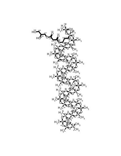 C[Si](C)(C)O[Si](C)(C)O[Si](C)(C)O[Si](C)(C)O[Si](C)(C)O[Si](C)(C)O[Si](C)(C)O[Si](C)(C)O[Si](C)(C)O[Si](C)(C)O[Si](C)(C)O[Si](C)(C)O[Si](C)(C)O[Si](C)(C)O[Si](C)(C)O[Si](C)(C)O[Si](C)(C)O[Si](C)(C)O[Si](C)(C)O[Si](C)(C)O[Si](C)(C)O[Si](C)(C)O[Si](C)(C)O[Si](C)(C)O[Si](C)(C)O[Si](C)(C)O[Si](C)(C)O[Si](C)(C)O[Si](C)(C)O[Si](C)(C)O[Si](C)(C)O[Si](C)(CCCNC(=O)CC(=O)OCC(O)CO)O[Si](C)(C)C